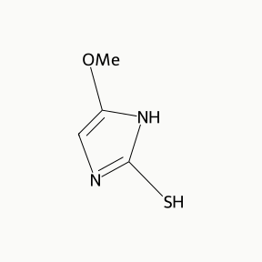 COc1cnc(S)[nH]1